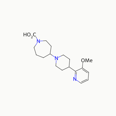 COc1cccnc1C1CCN(C2CCCN(C(=O)O)CC2)CC1